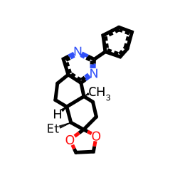 CC[C@H]1[C@@H]2CCc3cnc(-c4ccccc4)nc3[C@@]2(C)CCC12OCCO2